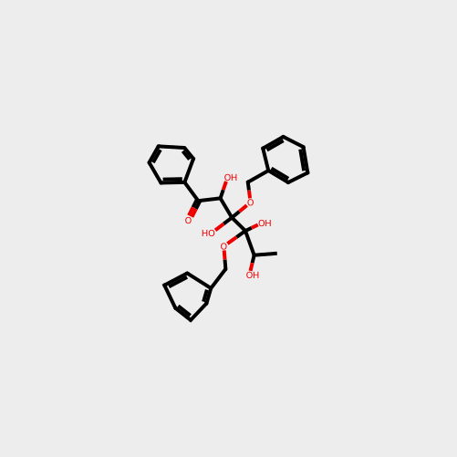 CC(O)C(O)(OCc1ccccc1)C(O)(OCc1ccccc1)C(O)C(=O)c1ccccc1